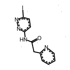 O=C(Cc1ccccn1)Nc1ccc(I)nn1